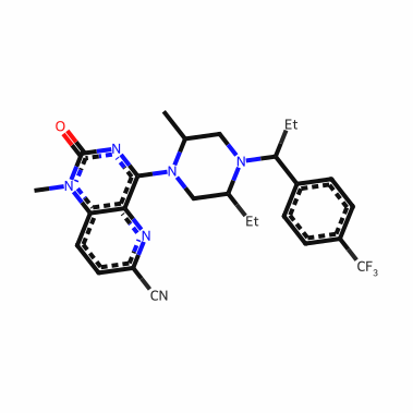 CCC1CN(c2nc(=O)n(C)c3ccc(C#N)nc23)C(C)CN1C(CC)c1ccc(C(F)(F)F)cc1